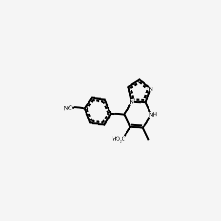 CC1=C(C(=O)O)C(c2ccc(C#N)cc2)n2ccnc2N1